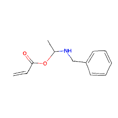 C=CC(=O)OC(C)NCc1ccccc1